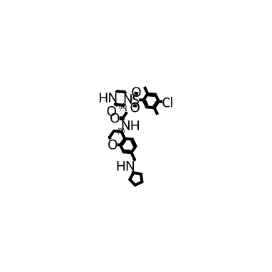 Cc1cc(S(=O)(=O)N2CCNC(=O)[C@H]2CC(=O)N[C@@H]2CCOc3cc(CNC4CCCC4)ccc32)c(C)cc1Cl